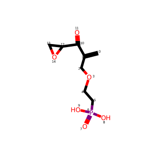 C=C(COCCP(=O)(O)O)C(=O)C1CO1